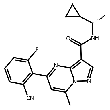 Cc1cc(-c2c(F)cccc2C#N)nc2c(C(=O)N[C@@H](C)C3CC3)cnn12